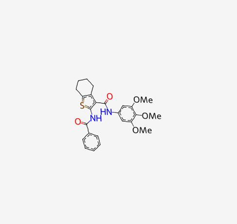 COc1cc(NC(=O)c2c(NC(=O)c3ccccc3)sc3c2CCCC3)cc(OC)c1OC